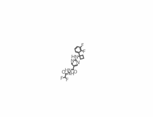 O=C(NNC(=O)C(F)F)c1cnc(NC2(c3cccc(F)c3F)CCC2)nc1